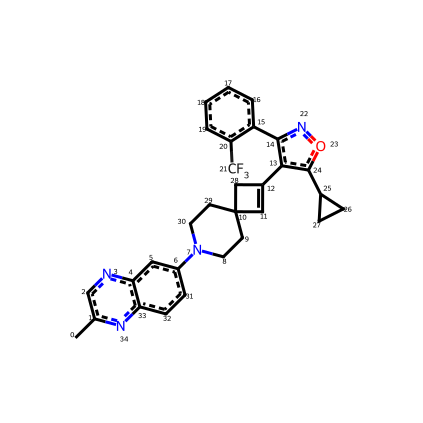 Cc1cnc2cc(N3CCC4(C=C(c5c(-c6ccccc6C(F)(F)F)noc5C5CC5)C4)CC3)ccc2n1